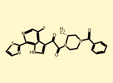 C[C@@H]1CN(C(=O)c2ccccc2)CCN1C(=O)C(=O)c1c[nH]c2c(-c3nccs3)ncc(F)c12